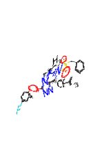 CCn1c(Oc2ccc(F)cc2)nnc1[C@@H](C)NS(=O)(=O)Cc1ccccc1